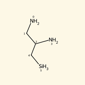 NCC(N)C[SiH3]